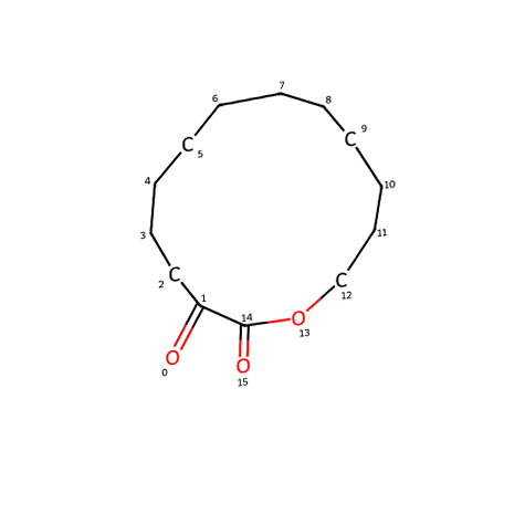 O=C1CCCCCCCCCCCOC1=O